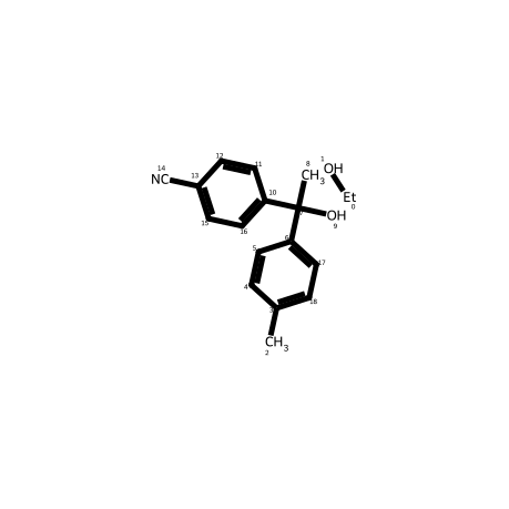 CCO.Cc1ccc(C(C)(O)c2ccc(C#N)cc2)cc1